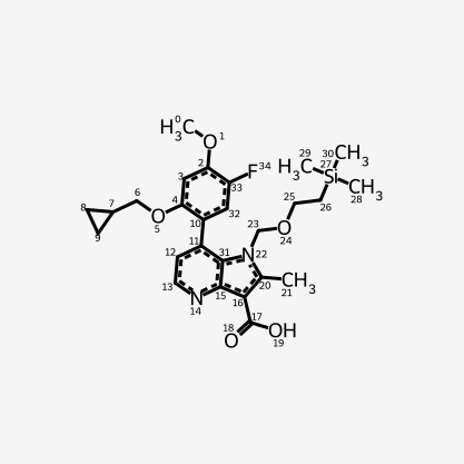 COc1cc(OCC2CC2)c(-c2ccnc3c(C(=O)O)c(C)n(COCC[Si](C)(C)C)c23)cc1F